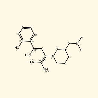 CN(C)CC1CCCN(C(/C=C(\N)c2ccccc2O)=C(N)N)C1